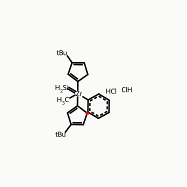 CC(C)(C)C1=CC[C]([Zr]([CH3])(=[SiH2])([C]2=CC(C(C)(C)C)=CC2)[c]2ccccc2)=C1.Cl.Cl